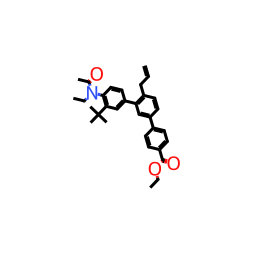 C=CCc1ccc(-c2ccc(C(=O)OCC)cc2)cc1-c1ccc(N(CC)C(C)=O)c(C(C)(C)C)c1